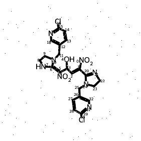 O=[N+]([O-])/C(=C\C(O)/C(=C1/NCCN1Cc1ccc(Cl)nc1)[N+](=O)[O-])C1=NCCN1Cc1ccc(Cl)nc1